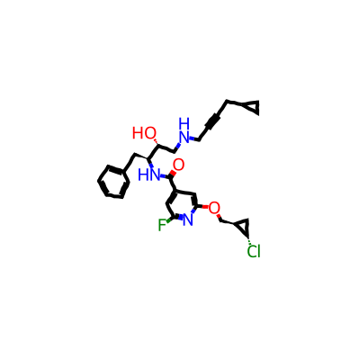 O=C(N[C@@H](Cc1ccccc1)[C@H](O)CNCC#CCC1CC1)c1cc(F)nc(OC[C@H]2C[C@@H]2Cl)c1